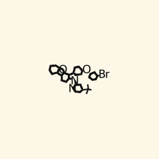 CC(C)(C)c1ccnc(-n2c3cc(Oc4cccc(Br)c4)ccc3c3c4oc5ccccc5c4ccc32)c1